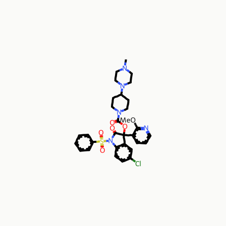 COc1ncccc1C1(OC(=O)N2CCC(N3CCN(C)CC3)CC2)C(=O)N(S(=O)(=O)c2ccccc2)c2ccc(Cl)cc21